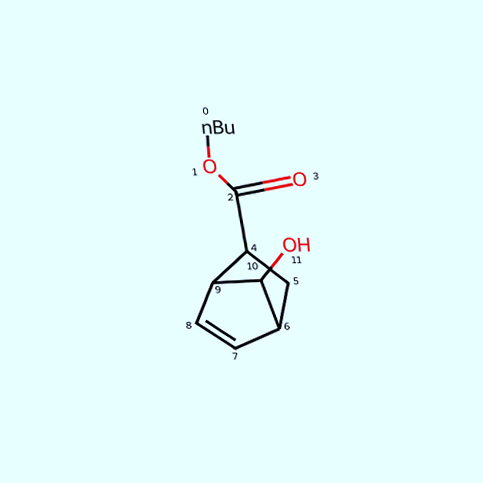 CCCCOC(=O)C1CC2C=CC1C2O